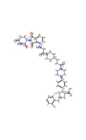 Cc1cccc(F)c1CN1C[C@H](c2ccc(N3CCN(C(=O)CCC4CCN(C(=O)CNc5cccc6c5C(=O)N(C5CCC(=O)NC5=O)C6=O)CC4)CC3)cc2)[C@@H](N(C)C)C1